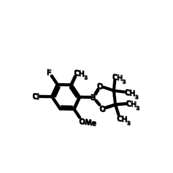 COc1cc(Cl)c(F)c(C)c1B1OC(C)(C)C(C)(C)O1